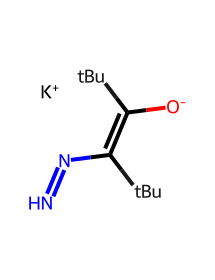 CC(C)(C)C([O-])=C(N=N)C(C)(C)C.[K+]